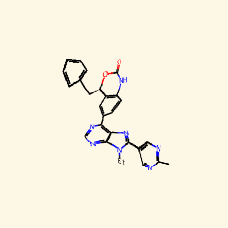 CCn1c(-c2cnc(C)nc2)nc2c(-c3ccc4c(c3)[C@@H](Cc3ccccc3)OC(=O)N4)ncnc21